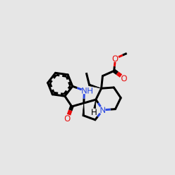 CC[C@@]1(CC(=O)OC)CCCN2CC[C@@]3(Nc4ccccc4C3=O)[C@@H]21